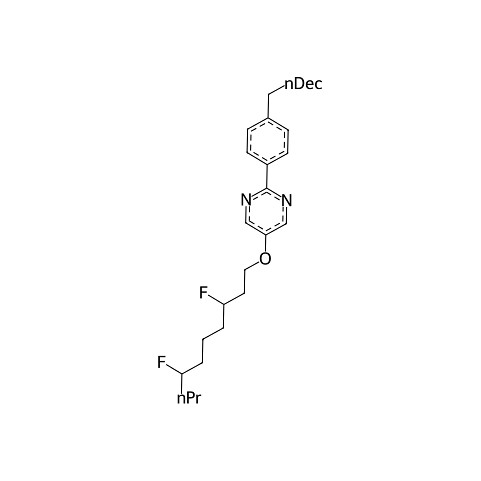 CCCCCCCCCCCc1ccc(-c2ncc(OCCC(F)CCCC(F)CCC)cn2)cc1